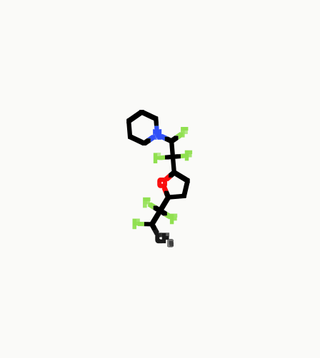 FC(N1CCCCC1)C(F)(F)C1CCC(C(F)(F)C(F)C(F)(F)F)O1